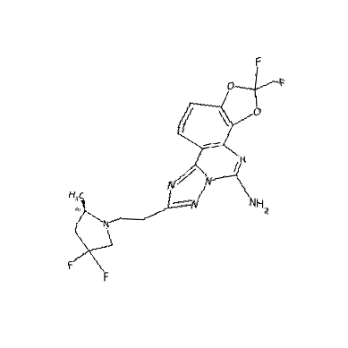 C[C@@H]1CC(F)(F)CN1CCc1nc2c3ccc4c(c3nc(N)n2n1)OC(F)(F)O4